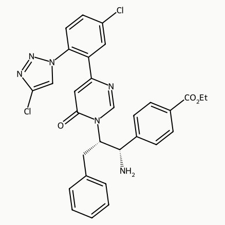 CCOC(=O)c1ccc([C@H](N)[C@H](Cc2ccccc2)n2cnc(-c3cc(Cl)ccc3-n3cc(Cl)nn3)cc2=O)cc1